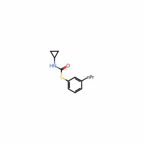 CCCc1cccc(SC(=O)NC2CC2)c1